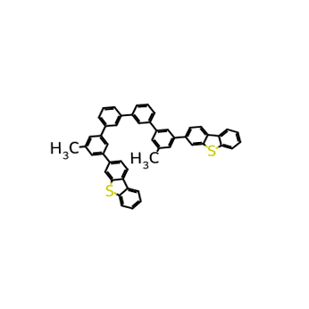 Cc1cc(-c2cccc(-c3cccc(-c4cc(C)cc(-c5ccc6c(c5)sc5ccccc56)c4)c3)c2)cc(-c2ccc3c(c2)sc2ccccc23)c1